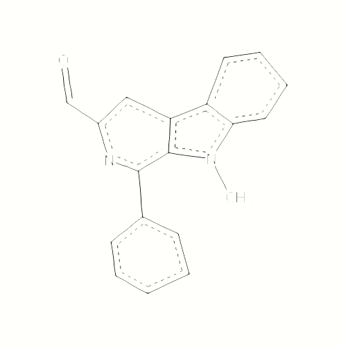 Cn1c2ccccc2c2cc(C=O)nc(-c3ccccc3)c21